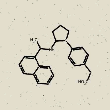 CC(NC1CCCN1c1ccc(CC(=O)O)cc1)c1cccc2ccccc12